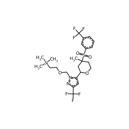 CC1(S(=O)(=O)c2cccc(C(F)(F)F)c2)CCOC(c2cc(C(F)(F)F)nn2COCC[Si](C)(C)C)C1